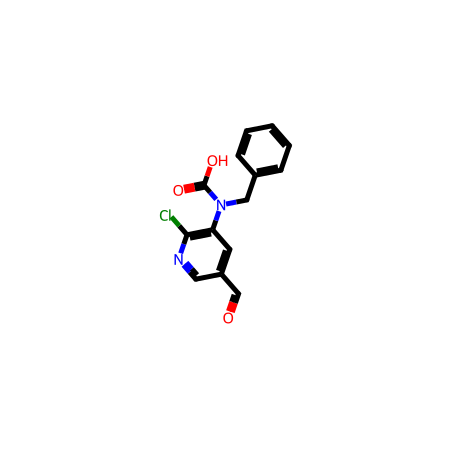 O=Cc1cnc(Cl)c(N(Cc2ccccc2)C(=O)O)c1